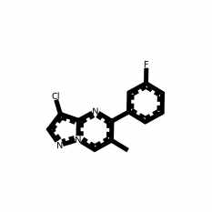 Cc1cn2ncc(Cl)c2nc1-c1cccc(F)c1